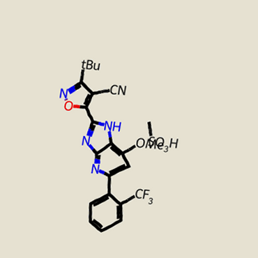 COc1cc(-c2ccccc2C(F)(F)F)nc2nc(-c3onc(C(C)(C)C)c3C#N)[nH]c12.CS(=O)(=O)O